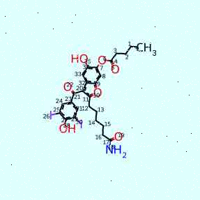 CCCCC(=O)Oc1cc2oc(CCCCCC(N)=O)c(C(=O)c3cc(I)c(O)c(I)c3)c2cc1O